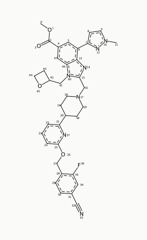 COC(=O)c1cc(-c2ccn(C)n2)c2nc(CN3CCC(c4cccc(OCc5ccc(C#N)cc5F)n4)CC3)n(CC3CCO3)c2c1